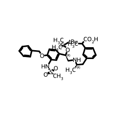 CC(C(=O)O)c1cccc(C[C@@H](C)NC[C@H](O[Si](C)(C)C(C)(C)C)c2ccc(OCc3ccccc3)c(NS(C)(=O)=O)c2)c1